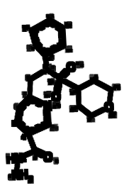 NNC(=O)c1ccc(CN(c2ccccc2)S(=O)(=O)C2CCOCC2)nc1